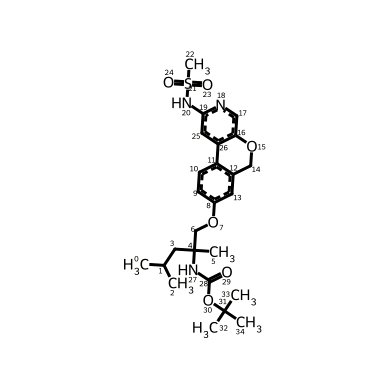 CC(C)CC(C)(COc1ccc2c(c1)COc1cnc(NS(C)(=O)=O)cc1-2)NC(=O)OC(C)(C)C